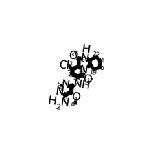 COc1c(N)ncnc1Nc1cc(Cl)c2n(c1=O)C1CCCCC1NC2=O